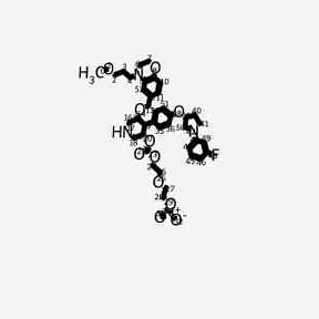 COCCCN1CCOc2ccc(COC3CNCC(OC(=O)OCCOCCO[N+](=O)[O-])C3c3ccc(OC4CCN(c5cccc(F)c5)C4)cc3)cc21